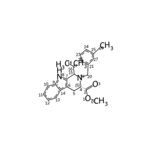 COC(=O)[C@@H]1Cc2c([nH]c3ccccc23)C(C(C)C)N1Cc1cccc(C)c1